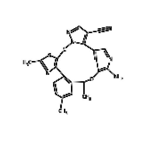 Cc1ccc2c(c1)C(C)Oc1cc(cnc1N)-c1c(C#N)cnn1Cc1sc(C)nc1-2